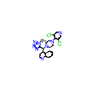 CC(C)n1nnnc1C(c1ccnc2ccccc12)N1CCN(c2c(Cl)cncc2Cl)CC1